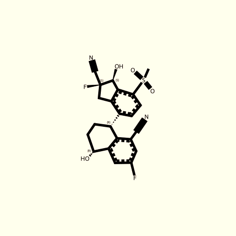 CS(=O)(=O)c1ccc([C@H]2CC[C@@H](O)c3cc(F)cc(C#N)c32)c2c1[C@H](O)[C@@](F)(C#N)C2